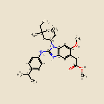 CC[C@H](CC(C)(C)CC)n1c(Nc2ccc(C(C)C)cc2)nc2cc(CC(=O)OC)c(OC)cc21